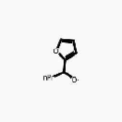 CCCC([O])c1ccco1